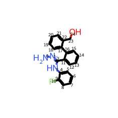 N/N=C(\Nc1ccccc1F)c1ccccc1-c1ccccc1CO